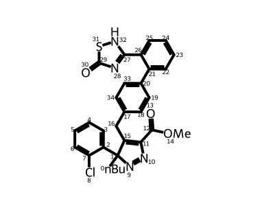 CCCCC1(c2ccccc2Cl)N=NC(C(=O)OC)=C1Cc1ccc(-c2ccccc2-c2nc(=O)s[nH]2)cc1